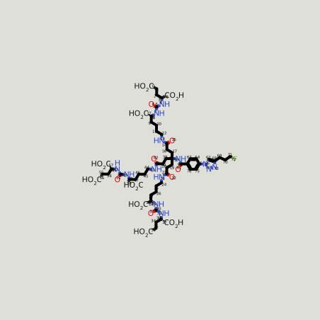 O=C(O)CCC(NC(=O)N[C@@H](CCCCNC(=O)CCC(CCC(=O)NCCCCC(NC(=O)N[C@@H](CCC(=O)O)C(=O)O)C(=O)O)(CCC(=O)NCCCCC(NC(=O)N[C@@H](CCC(=O)O)C(=O)O)C(=O)O)NC(=O)c1ccc(-n2cc(CCCF)nn2)cc1)C(=O)O)C(=O)O